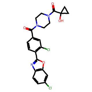 O=C(c1ccc(-c2nc3ccc(Cl)cc3o2)c(Cl)c1)N1CCN(C(=O)C2(O)CC2)CC1